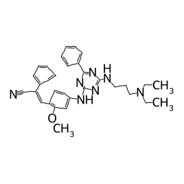 CCN(CC)CCCNc1nc(Nc2ccc(/C=C(/C#N)c3ccccc3)c(OC)c2)nc(-c2ccccc2)n1